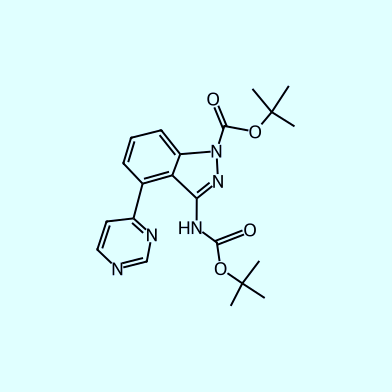 CC(C)(C)OC(=O)Nc1nn(C(=O)OC(C)(C)C)c2cccc(-c3ccncn3)c12